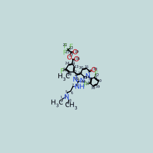 CCN(CC)CCCNc1nc(-c2cc(C(=O)OC(=O)C(F)(F)F)cc(F)c2C)c2ccc(=O)n(-c3c(F)cccc3F)c2n1